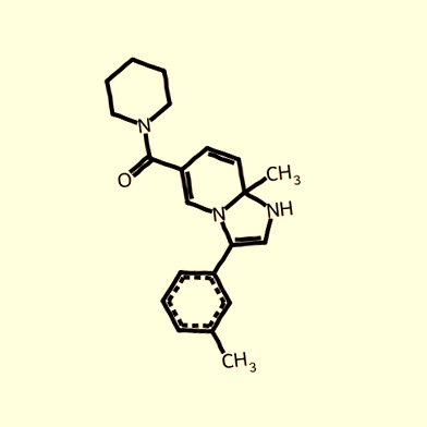 Cc1cccc(C2=CNC3(C)C=CC(C(=O)N4CCCCC4)=CN23)c1